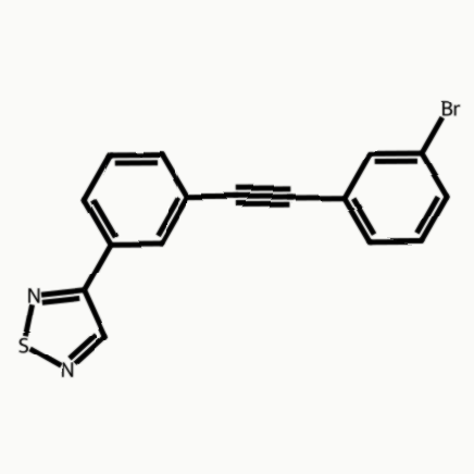 Brc1cccc(C#Cc2cccc(-c3cnsn3)c2)c1